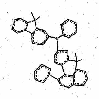 CC1(C)c2ccccc2-c2ccc(N(c3ccccc3)c3ccc4c(c3)C(C)(C)c3cccc5ccc(-c6ccccc6)c-4c35)cc21